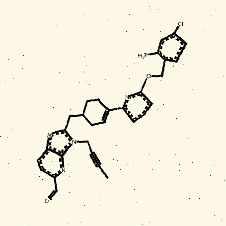 CC#CCn1c(CC2CC=C(c3cccc(OCc4ccc(Cl)cc4P)n3)CC2)nc2ccc(C=O)nc21